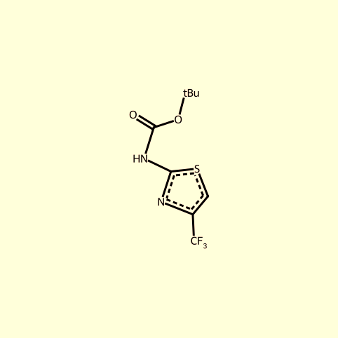 CC(C)(C)OC(=O)Nc1nc(C(F)(F)F)cs1